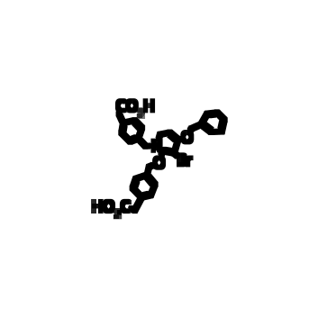 O=C(O)Cc1ccc(COC2=C(Br)C(OCc3ccccc3)=CCN2Cc2ccc(CC(=O)O)cc2)cc1